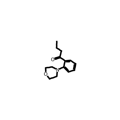 CCCC(=O)c1ccccc1N1CCOCC1